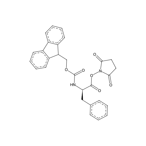 O=C(N[C@H](Cc1ccccc1)C(=O)ON1C(=O)CCC1=O)OCC1c2ccccc2-c2ccccc21